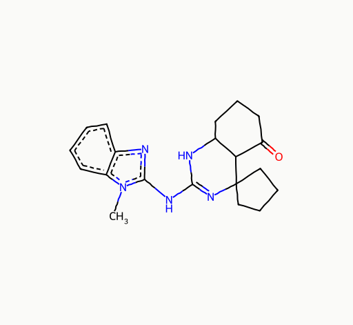 Cn1c(NC2=NC3(CCCC3)C3C(=O)CCCC3N2)nc2ccccc21